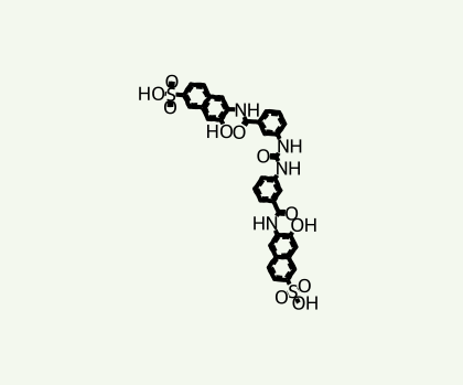 O=C(Nc1cccc(C(=O)Nc2cc3ccc(S(=O)(=O)O)cc3cc2O)c1)Nc1cccc(C(=O)Nc2cc3ccc(S(=O)(=O)O)cc3cc2O)c1